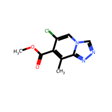 COC(=O)c1c(Cl)cn2cnnc2c1C